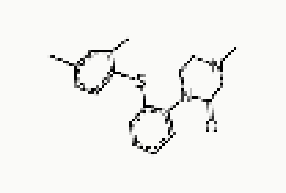 Cc1ccc(Sc2ccccc2N2CCN(C)CC2=O)c(C)c1